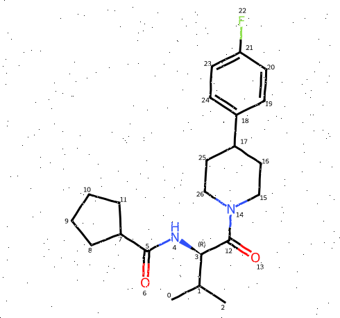 CC(C)[C@@H](NC(=O)C1CCCC1)C(=O)N1CCC(c2ccc(F)cc2)CC1